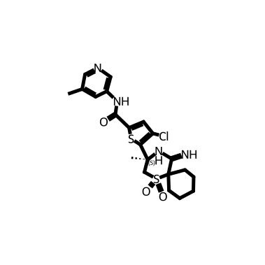 Cc1cncc(NC(=O)c2cc(Cl)c([C@]3(C)CS(=O)(=O)C4(CCCCC4)C(=N)N3)s2)c1